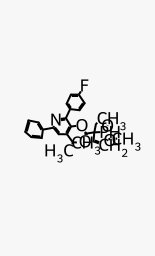 C=CC(CC)(C(=O)Oc1c(C(C)C)cc(-c2ccccc2)nc1-c1ccc(F)cc1)[PH](=O)OC